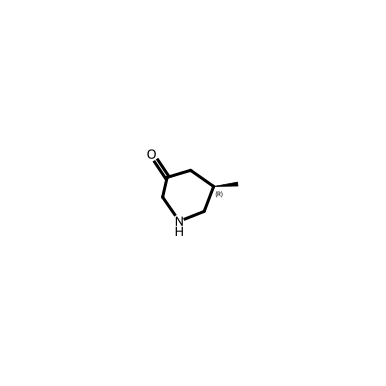 C[C@H]1CNCC(=O)C1